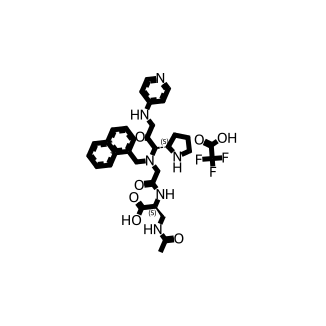 CC(=O)NC[C@H](NC(=O)CN(Cc1cccc2ccccc12)C(C(=O)CNc1ccncc1)[C@@H]1CCCN1)C(=O)O.O=C(O)C(F)(F)F